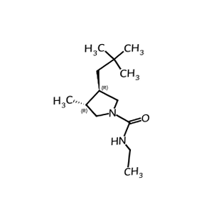 CCNC(=O)N1C[C@H](CC(C)(C)C)[C@@H](C)C1